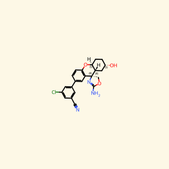 N#Cc1cc(Cl)cc(-c2ccc3c(c2)[C@@]2(COC(N)=N2)[C@H]2C[C@@H](O)CC[C@@H]2O3)c1